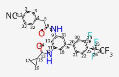 N#Cc1ccc(CC(=O)Nc2cc(NC(=O)C3CC3)cc(-c3ccc(C(F)(F)C(F)(F)F)c(F)c3)c2)cc1